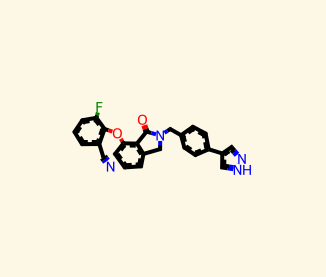 N#Cc1cccc(F)c1Oc1cccc2c1C(=O)N(Cc1ccc(-c3cn[nH]c3)cc1)C2